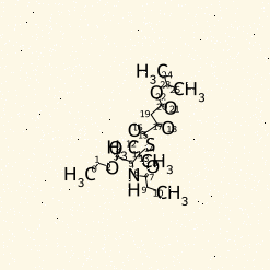 CCOC(=O)C(NC(=O)CC)C(C)(C)SC(=O)C(=O)CC(=O)OC(C)C